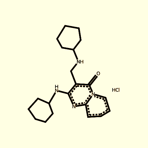 Cl.O=c1c(CNC2CCCCC2)c(NC2CCCCC2)nc2ccccn12